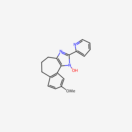 COc1ccc2c(c1)-c1c(nc(-c3ccccn3)n1O)CCC2